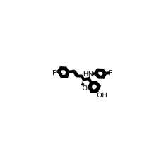 OC[C@H](C/C=C/c1ccc(F)cc1)[C@H](Nc1ccc(F)cc1)c1ccc(O)cc1